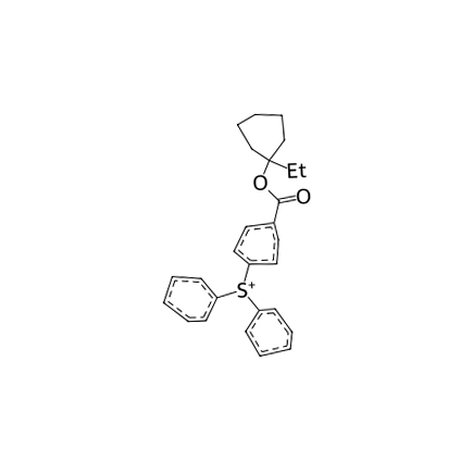 CCC1(OC(=O)c2ccc([S+](c3ccccc3)c3ccccc3)cc2)CCCCC1